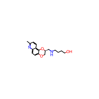 Cc1ccc2c3c(ccc2n1)OC[C@H](CNCCCCO)O3